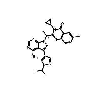 C[C@@H](c1nc2ccc(F)cc2c(=O)n1C1CC1)n1nc(-c2cnn(C(F)F)c2)c2c(N)ncnc21